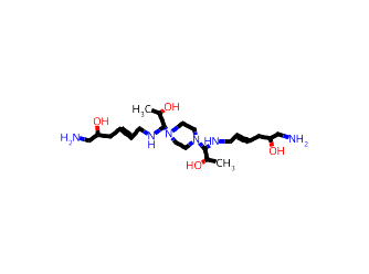 CC(O)C(NCC=CCC(O)CN)N1CCN(C(NCC=CCC(O)CN)C(C)O)CC1